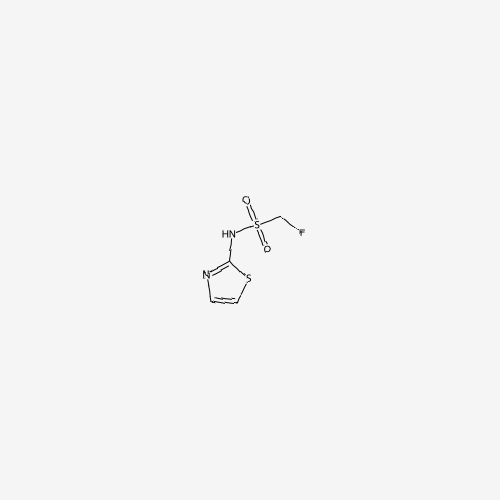 O=S(=O)(CF)Nc1nccs1